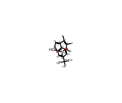 CC1=C(\C)C(C)N(C)CC\C=C\1c1ccc(C(F)(F)F)cc1O